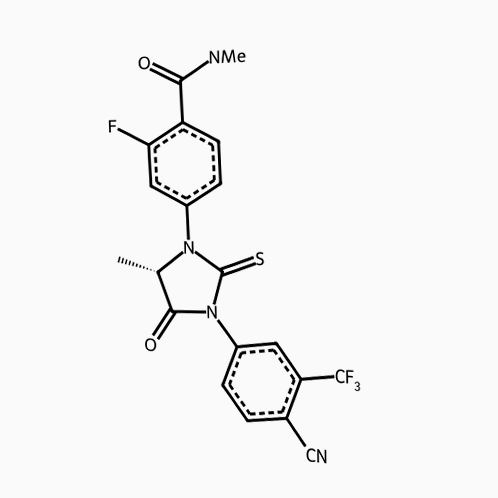 CNC(=O)c1ccc(N2C(=S)N(c3ccc(C#N)c(C(F)(F)F)c3)C(=O)[C@@H]2C)cc1F